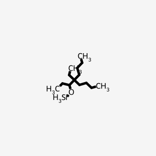 CCCCC(CC)(CCCC)C(CC)O[SiH3]